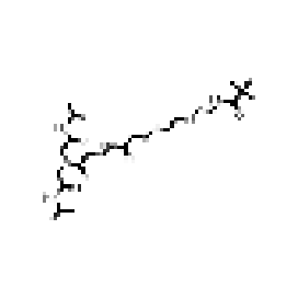 CC(C)NC(=O)CN(CC(=O)NC(C)C)C(=O)CCNC(=O)CCOCCOCCNC(=O)C(C)(C)I